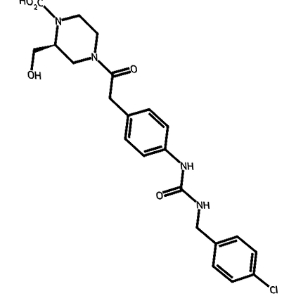 O=C(NCc1ccc(Cl)cc1)Nc1ccc(CC(=O)N2CCN(C(=O)O)[C@H](CO)C2)cc1